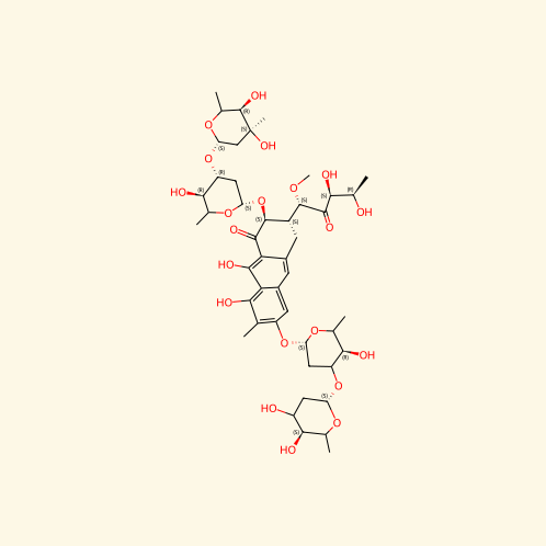 CO[C@H](C(=O)[C@@H](O)[C@@H](C)O)[C@@H]1Cc2cc3cc(O[C@H]4CC(O[C@H]5CC(O)[C@H](O)C(C)O5)[C@H](O)C(C)O4)c(C)c(O)c3c(O)c2C(=O)[C@H]1O[C@H]1C[C@@H](O[C@H]2C[C@](C)(O)[C@H](O)C(C)O2)[C@H](O)C(C)O1